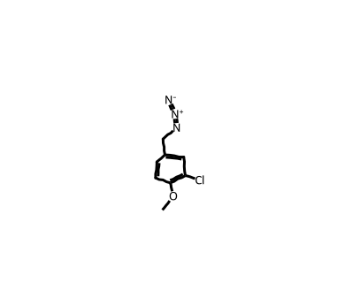 COc1ccc(CN=[N+]=[N-])cc1Cl